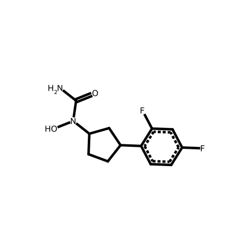 NC(=O)N(O)C1CCC(c2ccc(F)cc2F)C1